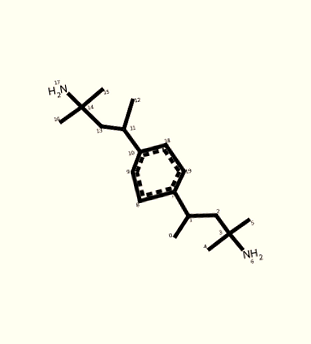 CC(CC(C)(C)N)c1ccc(C(C)CC(C)(C)N)cc1